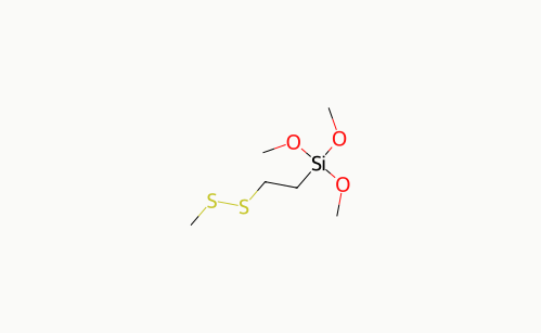 CO[Si](CCSSC)(OC)OC